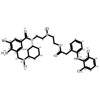 CCN(CCOC(=O)Cc1ccccc1Nc1c(Cl)cccc1Cl)CCOC(=O)c1cc(Br)c(N)c(CN(CC)C2CCCCC2)c1